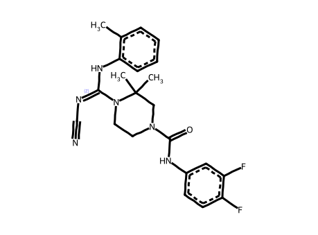 Cc1ccccc1N/C(=N/C#N)N1CCN(C(=O)Nc2ccc(F)c(F)c2)CC1(C)C